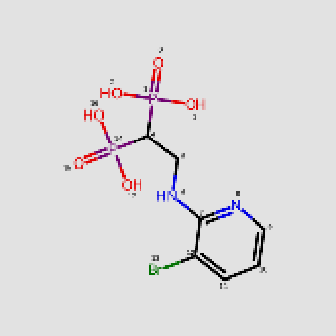 O=P(O)(O)C(CNc1ncccc1Br)P(=O)(O)O